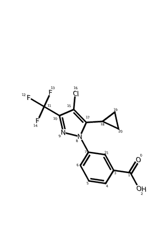 O=C(O)c1cccc(-n2nc(C(F)(F)F)c(Cl)c2C2CC2)c1